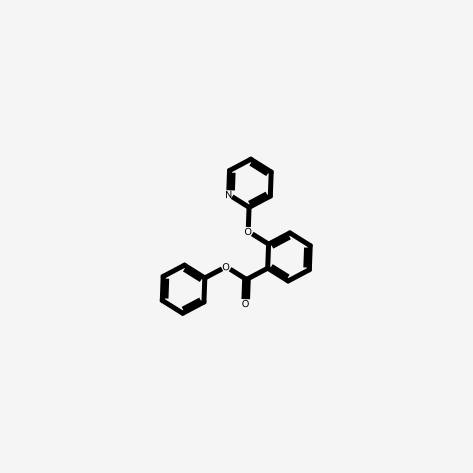 O=C(Oc1ccccc1)c1ccccc1Oc1ccccn1